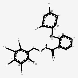 O=C(NOCc1c(F)c(F)c(F)c(F)c1F)c1ccncc1Nc1ccc(I)cc1F